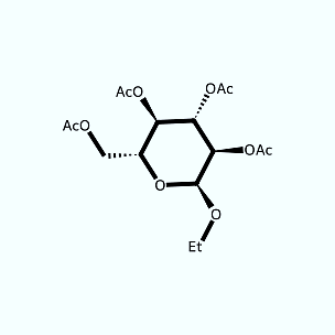 CCO[C@H]1O[C@H](COC(C)=O)[C@@H](OC(C)=O)[C@H](OC(C)=O)[C@H]1OC(C)=O